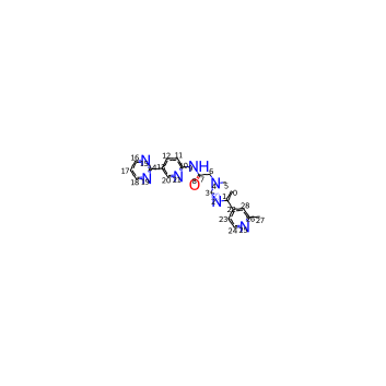 C=C(/N=C\N(C)CC(=O)Nc1ccc(-c2ncccn2)cn1)c1ccnc(C)c1